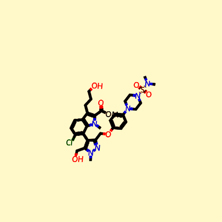 COC(=O)c1c(CCCO)c2ccc(Cl)c(-c3c(COc4ccc(N5CCN(S(=O)(=O)N(C)C)CC5)cc4)nn(C)c3CO)c2n1C